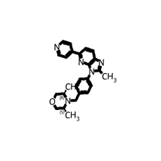 Cc1nc2ccc(-c3ccncc3)nc2n1-c1ccc(CN2[C@H](C)COC[C@@H]2C)cc1